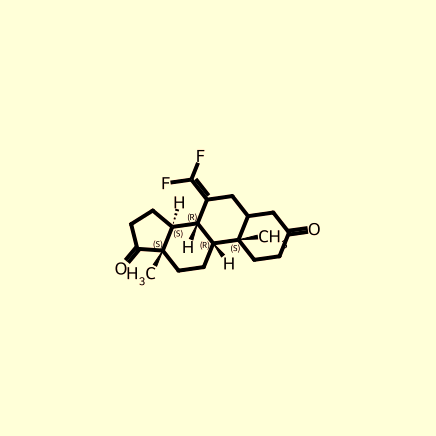 C[C@]12CCC(=O)CC1CC(=C(F)F)[C@@H]1[C@H]2CC[C@]2(C)C(=O)CC[C@@H]12